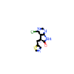 O=C1Nc2ncnc(Cl)c2/C1=C/c1cncs1